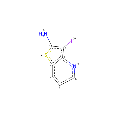 Nc1sc2cccnc2c1I